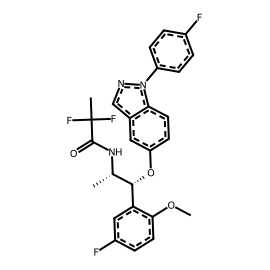 COc1ccc(F)cc1[C@@H](Oc1ccc2c(cnn2-c2ccc(F)cc2)c1)[C@H](C)NC(=O)C(C)(F)F